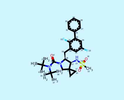 BC(B)(B)N(C(=O)N1CC2(CC2)[C@H](NS(C)(=O)=O)[C@@H]1Cc1cc(F)cc(-c2ccccc2)c1F)C(B)(B)B